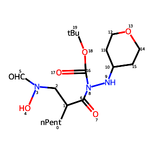 CCCCCC(CN(O)C=O)C(=O)N(NC1CCOCC1)C(=O)OC(C)(C)C